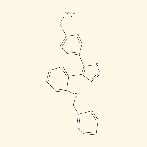 O=C(O)Cc1ccc(-c2sccc2-c2ccccc2OCc2ccccc2)cc1